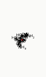 Nc1ccn([C@@H]2O[C@H](COP(=O)(O)O)[C@@H](P(=O)(O)OCC3O[C@@H](n4cnc5c(N)ncnc54)[C@H](O)[C@@H]3O)[C@H]2OC2CCCO2)c(=O)n1